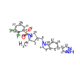 C[C@H]1CC(Cn2ccc3cc(-c4cn[nH]c4)ccc32)CN1S(=O)(=O)c1cccc(F)c1F